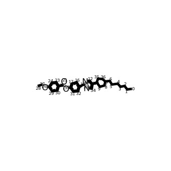 CCCCCCCC1CCC(c2cnc(-c3ccc(OC(=O)c4ccc(OCC)cc4)cc3)nc2)CC1